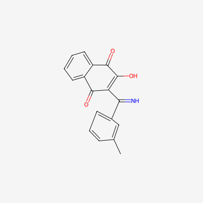 Cc1cccc(C(=N)C2=C(O)C(=O)c3ccccc3C2=O)c1